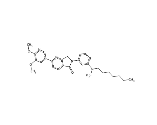 CCCCCCCN(C)c1cc(N2Cc3nc(-c4cnc(OC)c(OC)c4)ccc3C2=O)ccn1